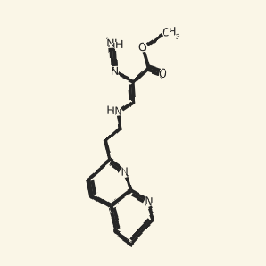 COC(=O)/C(=C/NCCc1ccc2cccnc2n1)N=N